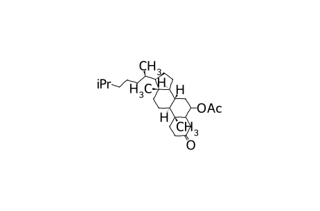 CC(=O)OC1C[C@H]2[C@@H]3CC[C@H]([C@H](C)CCCC(C)C)[C@@]3(C)CC[C@@H]2[C@@]2(C)CCC(=O)CC12